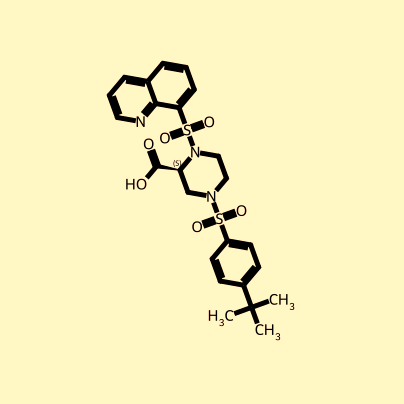 CC(C)(C)c1ccc(S(=O)(=O)N2CCN(S(=O)(=O)c3cccc4cccnc34)[C@H](C(=O)O)C2)cc1